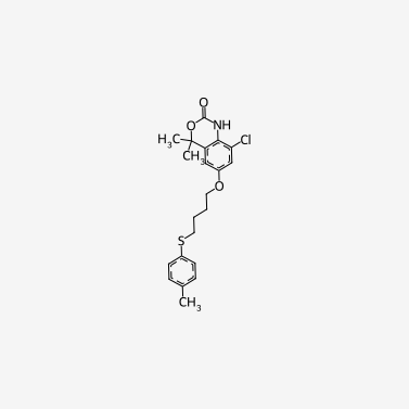 Cc1ccc(SCCCCOc2cc(Cl)c3c(c2)C(C)(C)OC(=O)N3)cc1